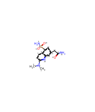 CN(C)c1ccc2c(S(N)(=O)=O)cc(CC(N)=O)cc2n1